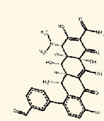 C[C@H]1c2c(-c3cccc(C=O)c3)ccc(O)c2C(=O)C2=C(O)[C@]3(O)C(=O)C(C(N)=O)=C(O)[C@@H](N(C)C)[C@@H]3[C@@H](O)[C@@H]21